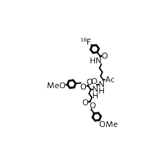 COc1ccc(COC(=O)CCC(NC(=O)NC(CCCCNC(=O)c2ccc([18F])cc2)C(C)=O)C(=O)OCc2ccc(OC)cc2)cc1